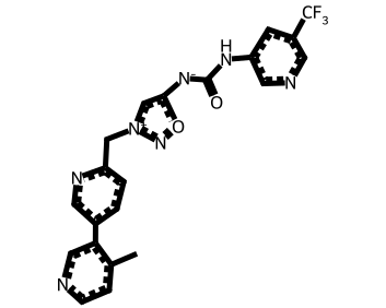 Cc1ccncc1-c1ccc(C[n+]2cc([N-]C(=O)Nc3cncc(C(F)(F)F)c3)on2)nc1